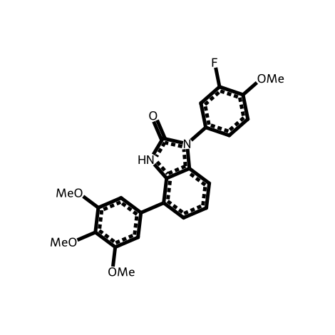 COc1ccc(-n2c(=O)[nH]c3c(-c4cc(OC)c(OC)c(OC)c4)cccc32)cc1F